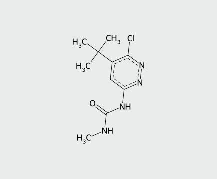 CNC(=O)Nc1cc(C(C)(C)C)c(Cl)nn1